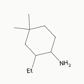 CCC1CC(C)(C)CCC1N